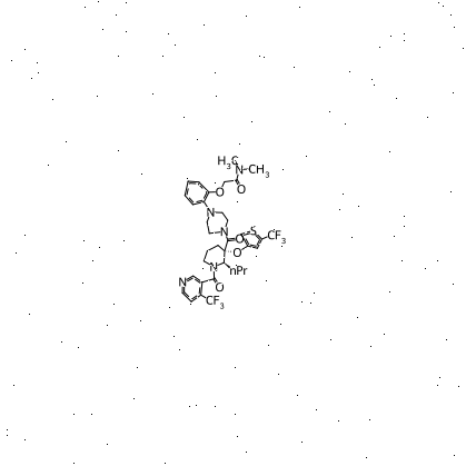 CCC[C@H]1N(C(=O)c2cnccc2C(F)(F)F)CCC[C@@]1(Oc1csc(C(F)(F)F)c1)C(=O)N1CCN(c2ccccc2OCC(=O)N(C)C)CC1